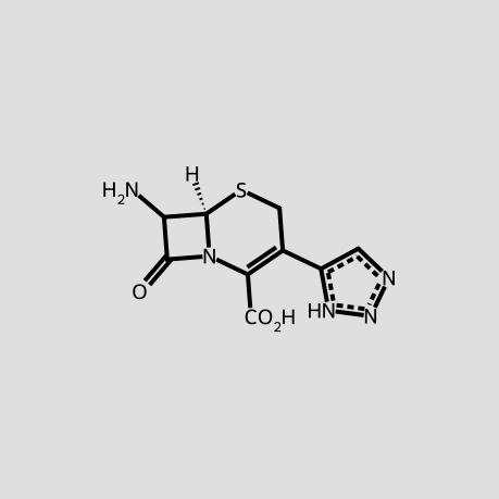 NC1C(=O)N2C(C(=O)O)=C(c3cnn[nH]3)CS[C@H]12